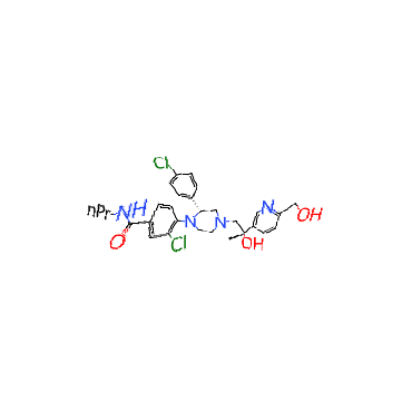 CCCNC(=O)c1ccc(N2CCN(C[C@@](C)(O)c3ccc(CO)nc3)C[C@H]2c2ccc(Cl)cc2)c(Cl)c1